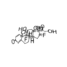 C[C@]12C=CC(=O)C=C1CC[C@H]1[C@@H]3C[C@@H](F)[C@](O)(C(=O)CO)[C@@]3(C)CC(O)[C@@]12F